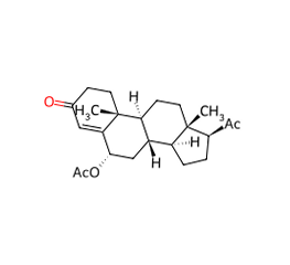 CC(=O)O[C@H]1C[C@H]2[C@@H]3CC[C@H](C(C)=O)[C@@]3(C)CC[C@@H]2[C@@]2(C)CCC(=O)C=C12